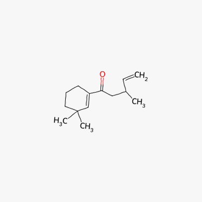 C=CC(C)CC(=O)C1=CC(C)(C)CCC1